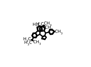 Cc1ccc(C(C2=C(C3c4cc(C(C)(C)C)ccc4-c4ccc(C(C)(C)C)cc43)C=CC2)c2ccc(C)cc2)cc1